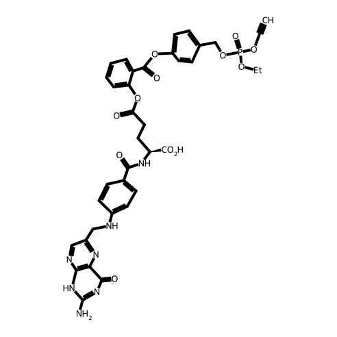 C#COP(=O)(OCC)OCc1ccc(OC(=O)c2ccccc2OC(=O)CC[C@H](NC(=O)c2ccc(NCc3cnc4[nH]c(N)nc(=O)c4n3)cc2)C(=O)O)cc1